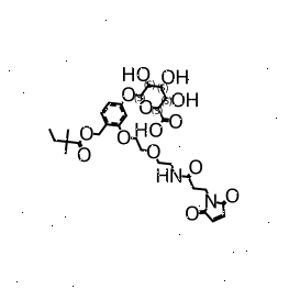 CCC(C)(C)C(=O)OCc1ccc(O[C@@H]2O[C@H](C(=O)O)[C@@H](O)[C@H](O)[C@@H]2O)cc1OCCOCCNC(=O)CCN1C(=O)C=CC1=O